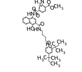 CCC(C)(C)c1ccc(OCCCCNC(=O)c2cc(NS(=O)(=O)c3ccc(C(=O)OC)c(N)c3)c3ccccc3c2O)c(C(C)(C)CC)c1